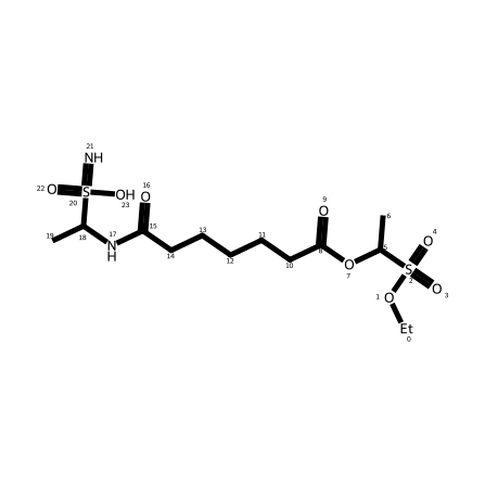 CCOS(=O)(=O)C(C)OC(=O)CCCCCC(=O)NC(C)S(=N)(=O)O